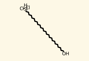 OCCCCCCCCCCCCCCCCCCCCCCCCCC[SiH](Cl)Cl